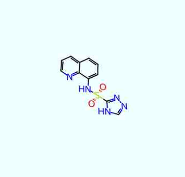 O=S(=O)(Nc1cccc2cccnc12)c1nnc[nH]1